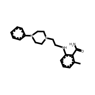 Cc1cccc(NCCN2CCN(c3ccccc3)CC2)c1C(N)=O